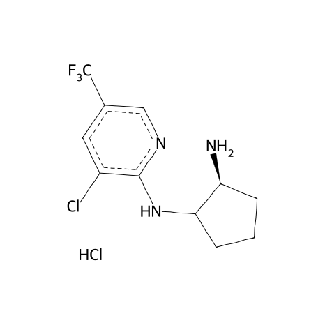 Cl.N[C@H]1CCCC1Nc1ncc(C(F)(F)F)cc1Cl